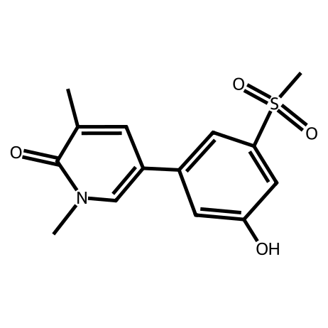 Cc1cc(-c2cc(O)cc(S(C)(=O)=O)c2)cn(C)c1=O